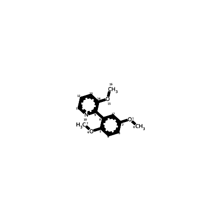 COc1ccc(OC)c(-c2ncccc2OC)c1